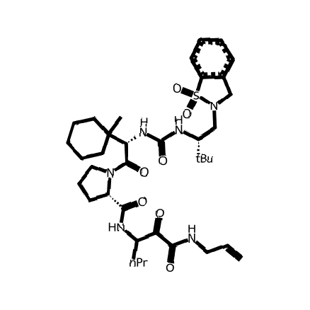 C=CCNC(=O)C(=O)C(CCC)NC(=O)[C@@H]1CCCN1C(=O)[C@@H](NC(=O)N[C@H](CN1Cc2ccccc2S1(=O)=O)C(C)(C)C)C1(C)CCCCC1